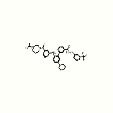 CC(=O)N1CCCN(C(=O)c2cccc(Nc3ccc(N4CCCCC4)cc3-c3cc(C(=O)NCc4cccc(C(F)(F)F)c4)ccn3)c2)CC1